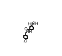 COc1ccc(CNC(=O)c2cccc(BO)c2)cc1